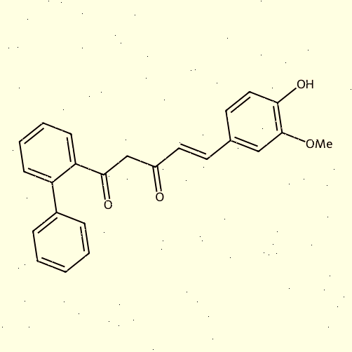 COc1cc(C=CC(=O)CC(=O)c2ccccc2-c2ccccc2)ccc1O